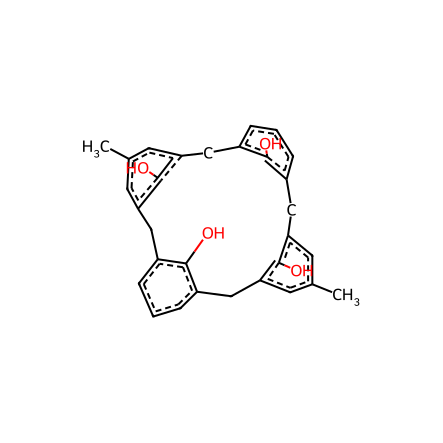 Cc1cc2c(O)c(c1)Cc1cccc(c1O)Cc1cc(C)cc(c1O)Cc1cccc(c1O)C2